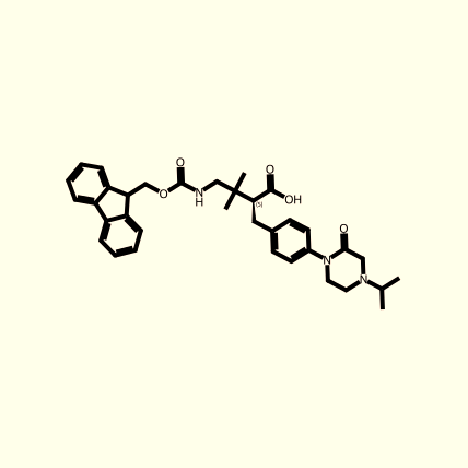 CC(C)N1CCN(c2ccc(C[C@H](C(=O)O)C(C)(C)CNC(=O)OCC3c4ccccc4-c4ccccc43)cc2)C(=O)C1